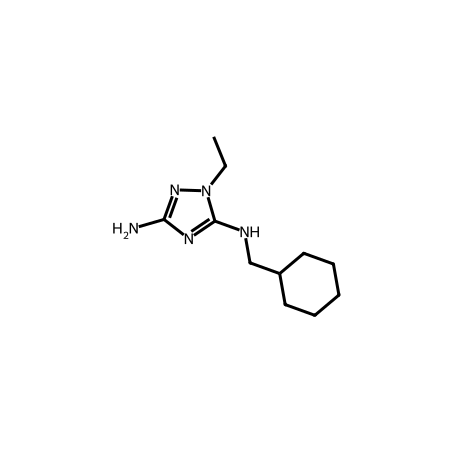 CCn1nc(N)nc1NCC1CCCCC1